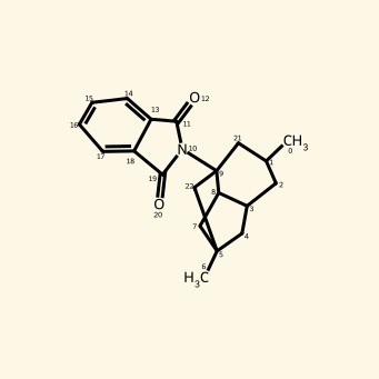 CC1CC2CC3(C)CC2C(N2C(=O)c4ccccc4C2=O)(C1)C3